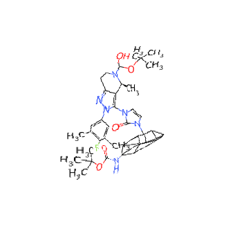 Cc1cc(-n2nc3c(c2-n2ccn(C45C6C7C8(NC(=O)OC(C)(C)C)C9C4C94C8C76C45)c2=O)[C@H](C)N(C(O)OC(C)(C)C)CC3)cc(C)c1F